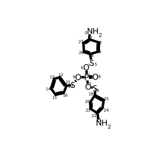 Nc1ccc(SOP(=O)(OSc2ccccc2)OSc2ccc(N)cc2)cc1